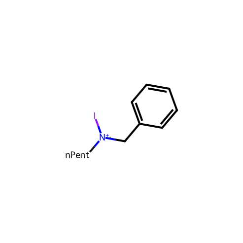 CCCCC[N+](I)Cc1ccccc1